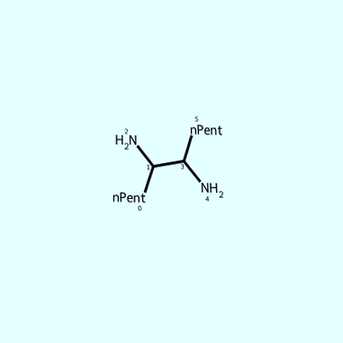 CCCCCC(N)C(N)CCCCC